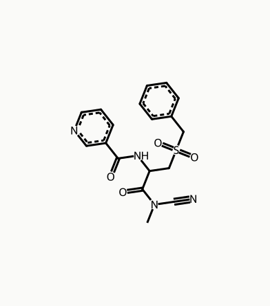 CN(C#N)C(=O)C(CS(=O)(=O)Cc1ccccc1)NC(=O)c1cccnc1